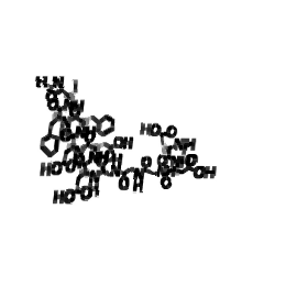 CC[C@H](NC(=O)[C@H](Cc1ccccc1)NC(=O)[C@H](Cc1ccccc1)NC(=O)[C@H](CC(=O)O)NC(=O)[C@H](CC(=O)O)NC(=O)[C@H](CC(=O)O)NC(=O)CNC(=O)CNC(=O)CNC(=O)[C@H](CC(=O)O)NC(=O)[C@H](CC(=O)O)NC(C)C)C(N)=O